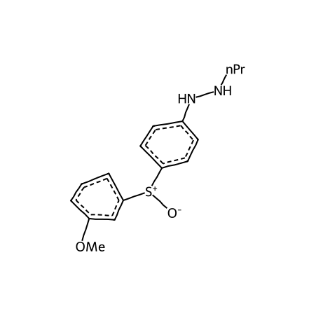 CCCNNc1ccc([S+]([O-])c2cccc(OC)c2)cc1